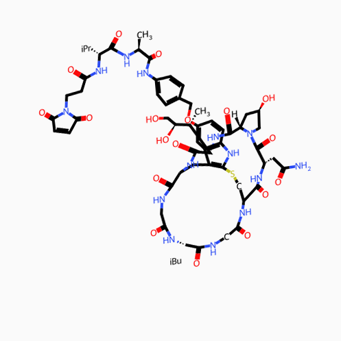 CC[C@H](C)[C@@H]1NC(=O)CNC(=O)C2Cc3c([nH]c4ccc(OCc5ccc(NC(=O)[C@H](C)NC(=O)[C@H](NC(=O)CCN6C(=O)C=CC6=O)C(C)C)cc5)cc34)SCC(NC(=O)CNC1=O)C(=O)N[C@@H](CC(N)=O)C(=O)N1C[C@H](O)C[C@H]1C(=O)N[C@@H]([C@@H](C)[C@@H](O)CO)C(=O)N2